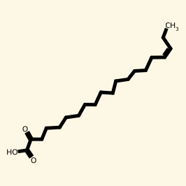 CC/C=C\CCCCCCCCCCCCCCC(=O)C(=O)O